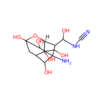 N#CNC(O)C1C2OC3(O)CC(C(O)C1(N)[C@@H]3O)C2(O)CO